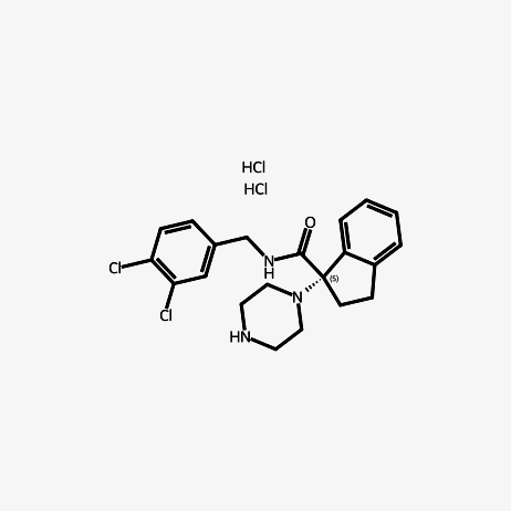 Cl.Cl.O=C(NCc1ccc(Cl)c(Cl)c1)[C@]1(N2CCNCC2)CCc2ccccc21